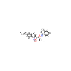 C=C(O/N=C(\CC(F)(F)F)c1ccccc1)c1onc2c1CCc1cc(OC)ccc1-2